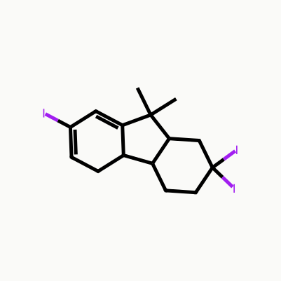 CC1(C)C2=CC(I)=CCC2C2CCC(I)(I)CC21